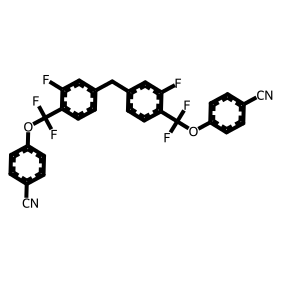 N#Cc1ccc(OC(F)(F)c2ccc(Cc3ccc(C(F)(F)Oc4ccc(C#N)cc4)c(F)c3)cc2F)cc1